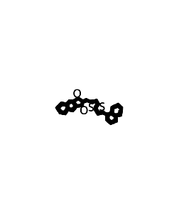 O=C1C(=Cc2cc3sc(-c4cccc5ccccc45)cc3s2)C(=O)c2cc3ccccc3cc21